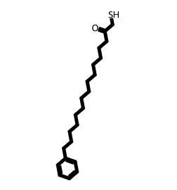 O=C(CS)CCCCCCCCCCCCCCc1ccccc1